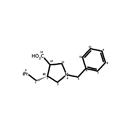 CC(C)C[C@H]1CN(Cc2ccccc2)CC1C(=O)O